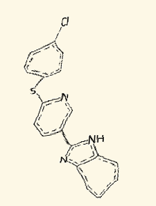 Clc1ccc(Sc2ccc(-c3nc4ccccc4[nH]3)cn2)cc1